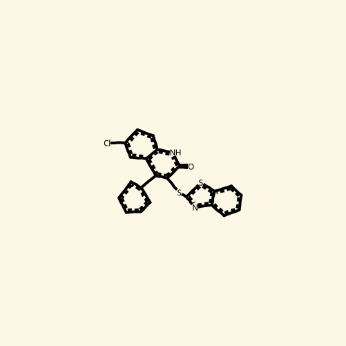 O=c1[nH]c2ccc(Cl)cc2c(-c2ccccc2)c1Sc1nc2ccccc2s1